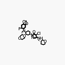 O=c1c(Cl)c(NC[C@H]2CCCOC2)cnn1[C@H]1CC[C@H](N(C[C@H]2COCCO2)c2cc3c(cc2F)OCO3)CC1